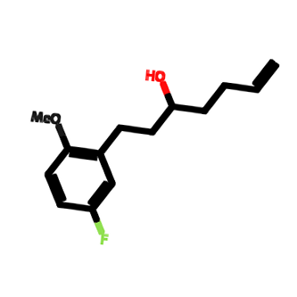 C=CCCC(O)CCc1cc(F)ccc1OC